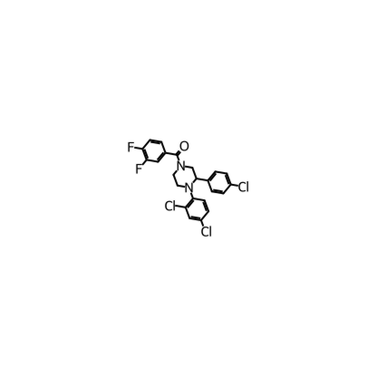 O=C(c1ccc(F)c(F)c1)N1CCN(c2ccc(Cl)cc2Cl)C(c2ccc(Cl)cc2)C1